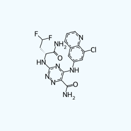 NC(=O)c1nnc(N[C@H](CC(F)F)C(N)=O)nc1Nc1cc(Cl)c2ncccc2c1